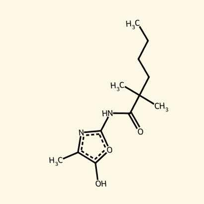 CCCCC(C)(C)C(=O)Nc1nc(C)c(O)o1